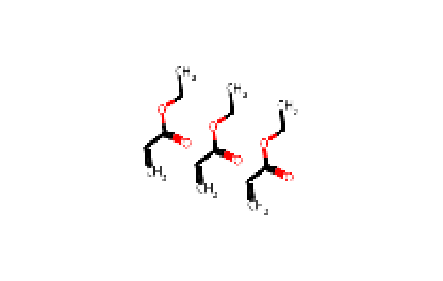 C=CC(=O)OCC.C=CC(=O)OCC.C=CC(=O)OCC